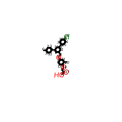 Cc1ccc(-c2cc(COc3ccc(OCC(=O)O)c(C)c3)cc(-c3ccc(Cl)cc3)c2)cc1